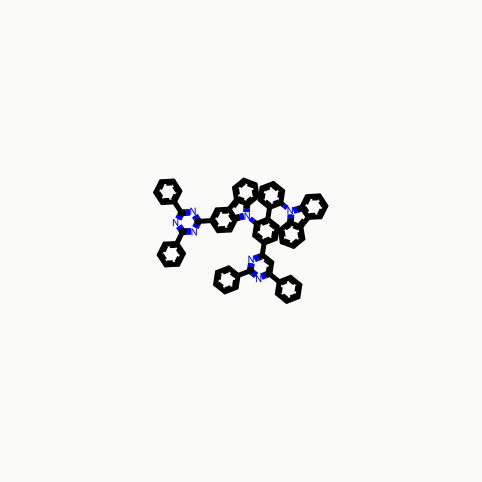 c1ccc(-c2cc(-c3ccc(-c4ccccc4-n4c5ccccc5c5ccccc54)c(-n4c5ccccc5c5cc(-c6nc(-c7ccccc7)nc(-c7ccccc7)n6)ccc54)c3)nc(-c3ccccc3)n2)cc1